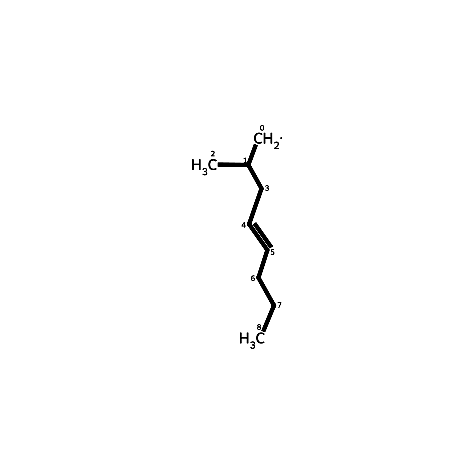 [CH2]C(C)CC=CCCC